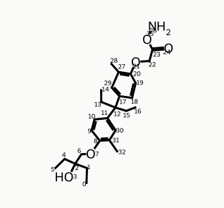 CCC(O)(CC)COc1ccc(C(CC)(CC)c2ccc(OCC(=O)ON)c(C)c2)cc1C